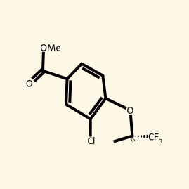 COC(=O)c1ccc(O[C@@H](C)C(F)(F)F)c(Cl)c1